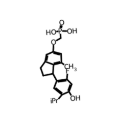 Cc1cc(OCP(=O)(O)O)cc2c1C(c1cc(C(C)C)c(O)cc1F)CC2